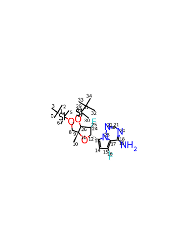 CC(C)(C)[Si](C)(C)OC[C@@]1(C)O[C@@H](c2cc(F)c3c(N)ncnn23)[C@H](F)C1O[Si](C)(C)C(C)(C)C